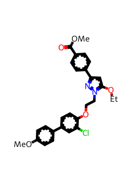 CCOc1cc(-c2ccc(C(=O)OC)cc2)nn1CCOc1ccc(-c2ccc(OC)cc2)cc1Cl